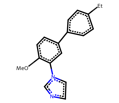 CCc1ccc(-c2ccc(OC)c(-n3ccnc3)c2)cc1